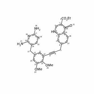 CCOC(=O)c1c[nH]c2cc(CC#Cc3cc(Cc4cnc(N)nc4N)cc(OC)c3OC)ccc2c1=O